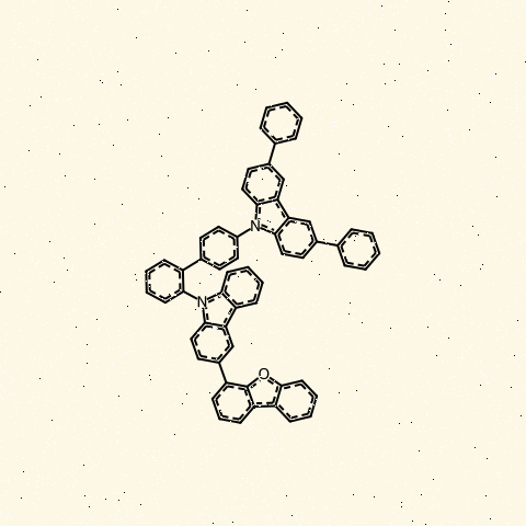 c1ccc(-c2ccc3c(c2)c2cc(-c4ccccc4)ccc2n3-c2ccc(-c3ccccc3-n3c4ccccc4c4cc(-c5cccc6c5oc5ccccc56)ccc43)cc2)cc1